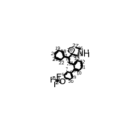 FC(F)(F)Oc1ccc(-c2ccccc2CC(c2ccccc2)C2CNCCO2)cc1